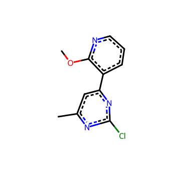 COc1ncccc1-c1cc(C)nc(Cl)n1